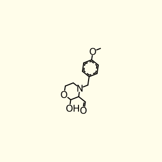 COc1ccc(CN2CCOC(O)C2C=O)cc1